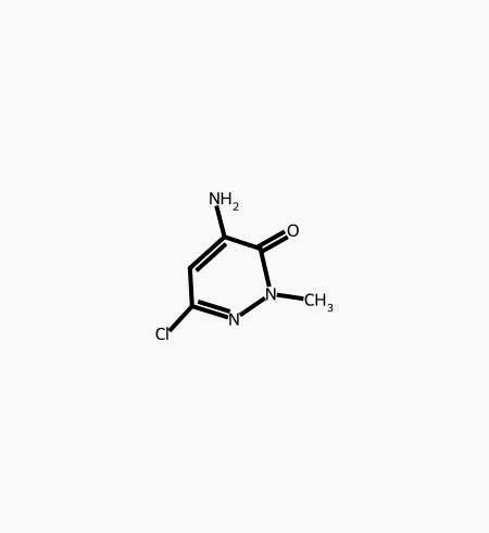 Cn1nc(Cl)cc(N)c1=O